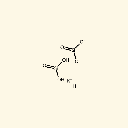 O=[Si](O)O.O=[Si]([O-])[O-].[H+].[K+]